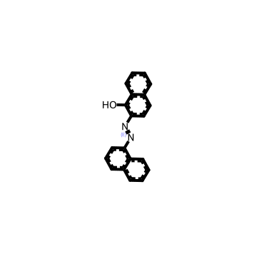 Oc1c(/N=N/c2cccc3ccccc23)ccc2ccccc12